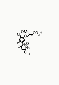 CO/C(=C\C(=O)O)COc1cc(-n2c(=O)cc(C(F)(F)F)n(C)c2=O)c(F)cc1Cl